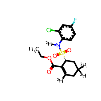 [2H]C1=C(C(=O)OCC)[C@H](S(=O)(=O)N([2H])c2ccc(F)cc2Cl)CC([2H])([2H])C1